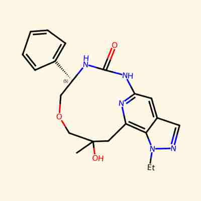 CCn1ncc2cc3nc(c21)CC(C)(O)COC[C@H](c1ccccc1)NC(=O)N3